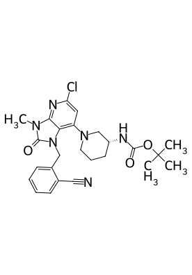 Cn1c(=O)n(Cc2ccccc2C#N)c2c(N3CCC[C@@H](NC(=O)OC(C)(C)C)C3)cc(Cl)nc21